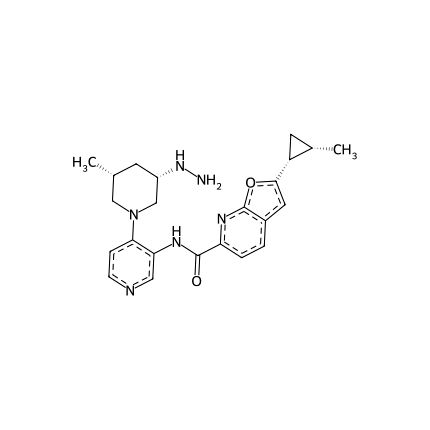 C[C@@H]1C[C@H](NN)CN(c2ccncc2NC(=O)c2ccc3cc([C@@H]4C[C@@H]4C)oc3n2)C1